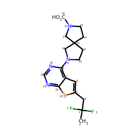 CC(F)(F)Cc1cc2c(N3CCC4(CCN(C(=O)O)C4)C3)ncnc2s1